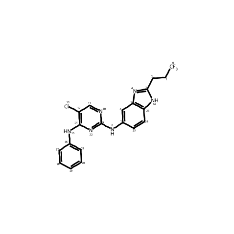 FC(F)(F)CCc1nc2cc(Nc3ncc(Cl)c(Nc4[c]cccc4)n3)ccc2[nH]1